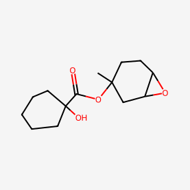 CC1(OC(=O)C2(O)CCCCC2)CCC2OC2C1